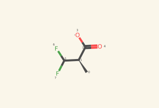 C[C@H](C([O])=O)C(F)F